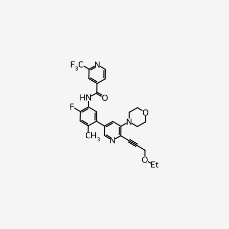 CCOCC#Cc1ncc(-c2cc(NC(=O)c3ccnc(C(F)(F)F)c3)c(F)cc2C)cc1N1CCOCC1